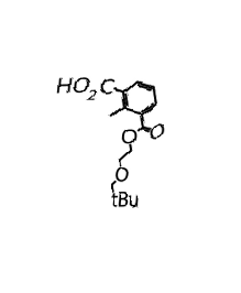 Cc1c(C(=O)O)cccc1C(=O)OCCOCC(C)(C)C